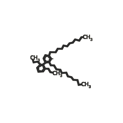 CCCCCCCCCCCCc1[c]c(CCCCCCCCCCCC)c(-c2c(CCC)cccc2CCC)cc1